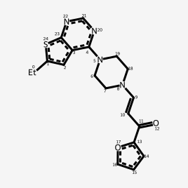 CCc1cc2c(N3CCN(C=CC(=O)c4ccco4)CC3)ncnc2s1